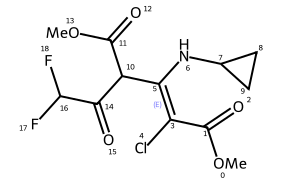 COC(=O)/C(Cl)=C(\NC1CC1)C(C(=O)OC)C(=O)C(F)F